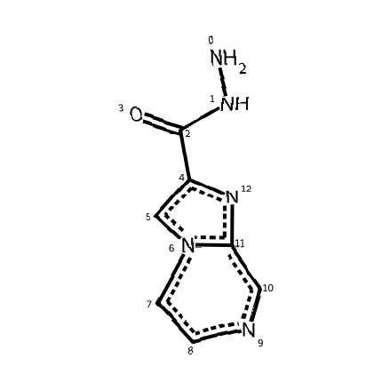 NNC(=O)c1cn2ccncc2n1